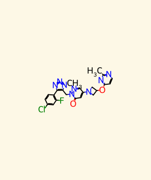 Cc1nccc(OC2CN(c3cnn(Cc4c(-c5ccc(Cl)cc5F)nnn4C)c(=O)c3)C2)n1